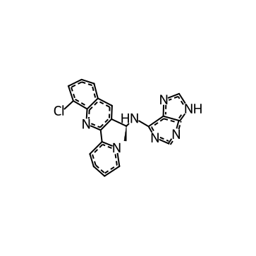 C[C@H](Nc1ncnc2[nH]cnc12)c1cc2cccc(Cl)c2nc1-c1ccccn1